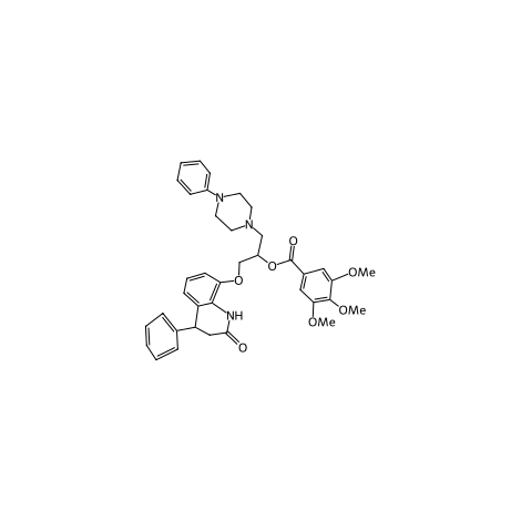 COc1cc(C(=O)OC(COc2cccc3c2NC(=O)CC3c2ccccc2)CN2CCN(c3ccccc3)CC2)cc(OC)c1OC